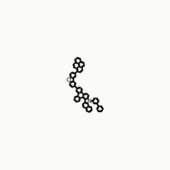 c1ccc(-c2cccc(-n3c4ccc5c6ccc(-c7ccc8oc9ccc(-c%10ccc%11ccc%12cccc%13ccc%10c%11c%12%13)cc9c8c7)cc6c6ccccc6c5c4c4ccc5ccccc5c43)c2)cc1